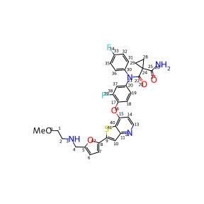 COCCNCc1ccc(-c2cc3nccc(Oc4ccc(N(C(=O)C5(C(N)=O)CC5)c5ccc(F)cc5)cc4F)c3s2)o1